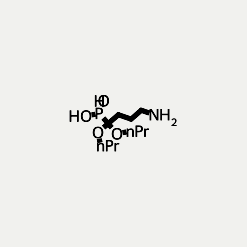 CCCOC(CCCN)(OCCC)[PH](=O)O